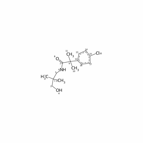 CC(C)(CO)CNC(=O)C(C)(C)c1ccc(Cl)cc1